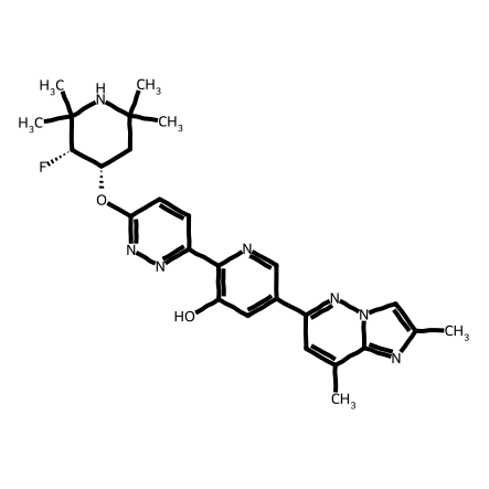 Cc1cn2nc(-c3cnc(-c4ccc(O[C@H]5CC(C)(C)NC(C)(C)[C@H]5F)nn4)c(O)c3)cc(C)c2n1